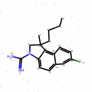 CCCCC1(C)CN(C(=N)N)c2ccc3cc(F)ccc3c21